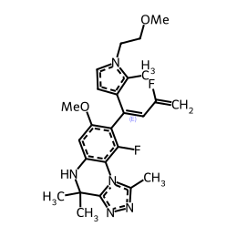 C=C(F)/C=C(\c1ccn(CCOC)c1C)c1c(OC)cc2c(c1F)-n1c(C)nnc1C(C)(C)N2